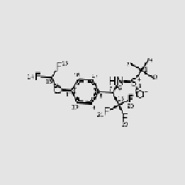 CC(C)(C)[S+]([O-])N[C@H](c1ccc(OC(F)F)cc1)C(F)(F)F